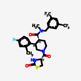 Cc1cc(F)ccc1[C@@H]1CN(C(=O)[C@@H]2CSC(=O)N2)CC[C@H]1C(=O)N(C)Cc1cc(C(F)(F)F)cc(C(F)(F)F)c1